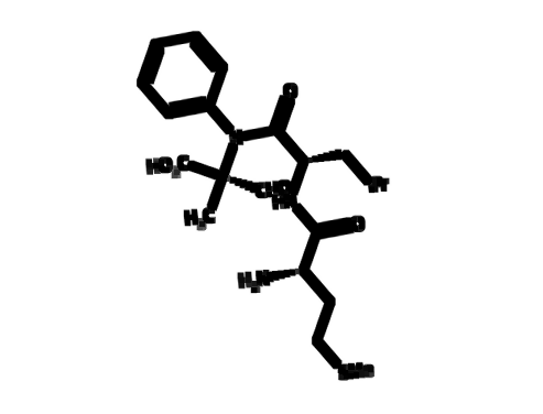 CSCC[C@H](N)C(=O)N[C@@H](CC(C)C)C(=O)N(c1ccccc1)[C@](C)(C=O)C(=O)O